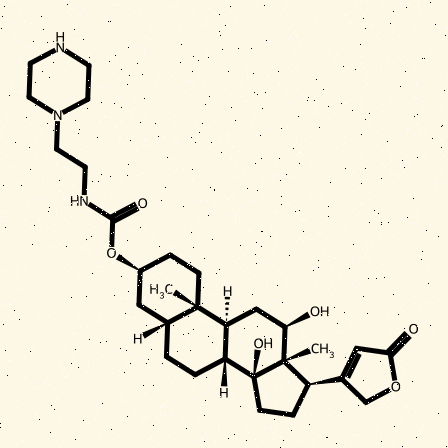 C[C@]12CC[C@H](OC(=O)NCCN3CCNCC3)C[C@H]1CC[C@@H]1[C@@H]2C[C@@H](O)[C@]2(C)[C@@H](C3=CC(=O)OC3)CC[C@]12O